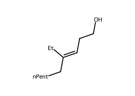 CCCCCC/C(=C/CCO)CC